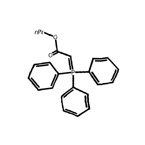 CCCOC(=O)C=P(c1ccccc1)(c1ccccc1)c1ccccc1